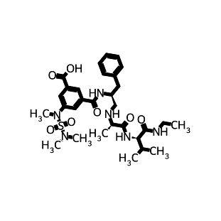 CCNC(=O)[C@@H](NC(=O)[C@H](C)NC[C@H](Cc1ccccc1)NC(=O)c1cc(C(=O)O)cc(N(C)S(=O)(=O)N(C)C)c1)C(C)C